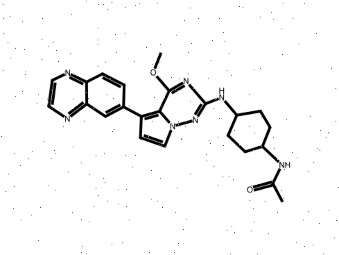 COc1nc(NC2CCC(NC(C)=O)CC2)nn2ccc(-c3ccc4nccnc4c3)c12